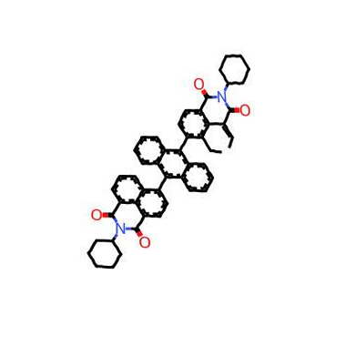 C/C=C1/C(=O)N(C2CCCCC2)C(=O)c2ccc(-c3c4ccccc4c(-c4ccc5c6c(cccc46)C(=O)N(C4CCCCC4)C5=O)c4ccccc34)c(CC)c21